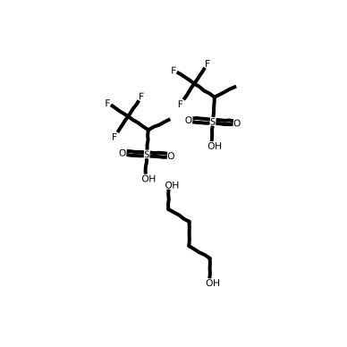 CC(C(F)(F)F)S(=O)(=O)O.CC(C(F)(F)F)S(=O)(=O)O.OCCCCO